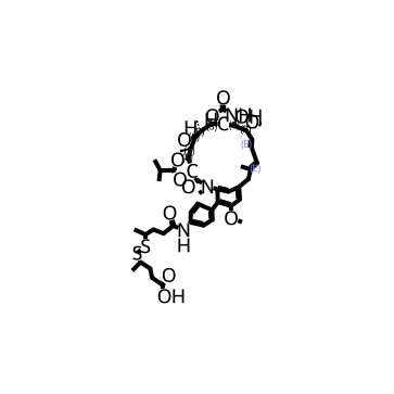 COc1cc2cc(c1-c1ccc(NC(=O)CCC(C)SSC(C)CCC(=O)O)cc1)N(C)C(=O)C[C@H](OC(=O)C(C)C)[C@]1(C)O[C@H]1[C@H](C)[C@@H]1C[C@@](O)(NC(=O)O1)[C@H](OC)/C=C/C=C(\C)C2